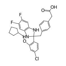 O=C(O)Cc1ccc(CC2(c3ccc(Cl)cc3OCC3CCCC3)Nc3cc(F)c(F)cc3N2)cc1